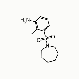 Cc1c(N)cccc1S(=O)(=O)N1CCCCCC1